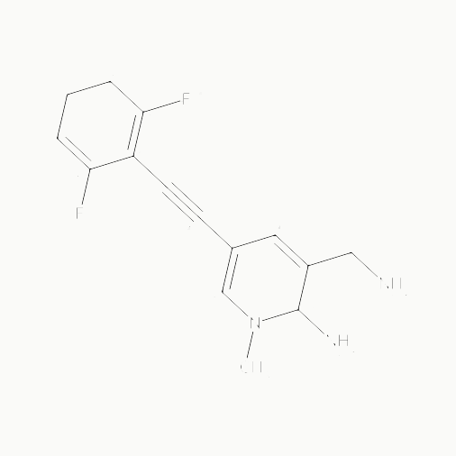 CN1C=C(C#CC2=C(F)CCC=C2F)C=C(CN)C1N